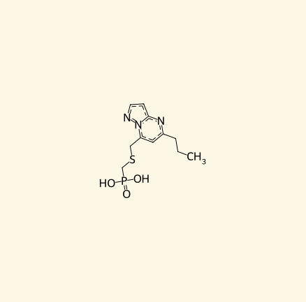 CCCc1cc(CSCP(=O)(O)O)n2nccc2n1